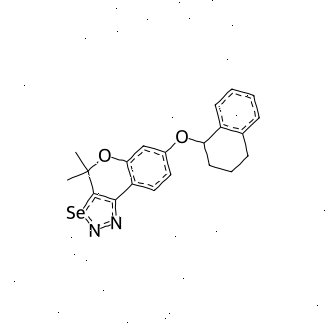 CC1(C)Oc2cc(OC3CCCc4ccccc43)ccc2-c2nn[se]c21